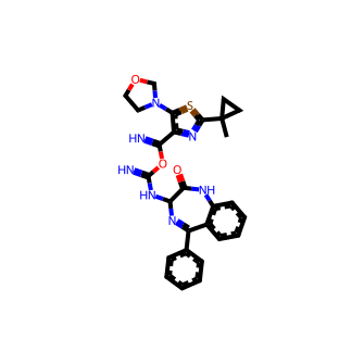 CC1(c2nc(C(=N)OC(=N)NC3N=C(c4ccccc4)c4ccccc4NC3=O)c(N3CCOC3)s2)CC1